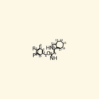 Cc1cc(COC(=N)/C=C2\NCC3CCCCC=C23)cc(F)c1F